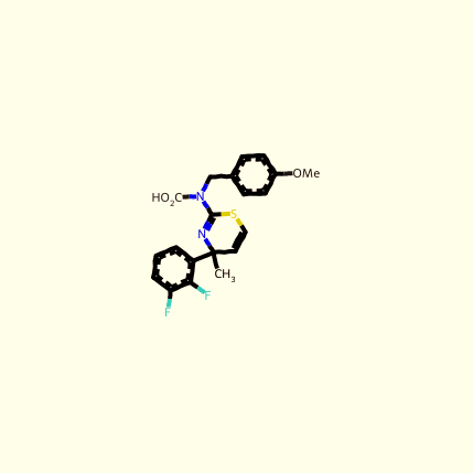 COc1ccc(CN(C(=O)O)C2=NC(C)(c3cccc(F)c3F)C=CS2)cc1